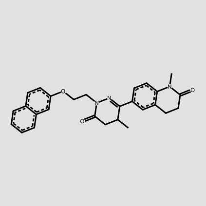 CC1CC(=O)N(CCOc2ccc3ccccc3c2)N=C1c1ccc2c(c1)CCC(=O)N2C